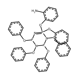 Nc1ccccc1OP1(Oc2ccccc2)=NP(Oc2ccccc2)N(Oc2ccccc2)P(Oc2ccccc2)N1Oc1ccccc1